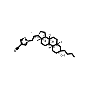 CCCC[C@@]1(O)CC[C@@]2(C)[C@H](CC[C@@H]3[C@@H]2CC[C@]2(C)[C@@H]([C@@H](C)Cn4cc(C#N)cn4)CC[C@@H]32)C1